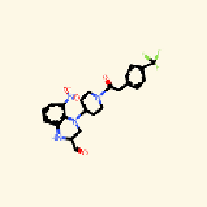 O=CC1CN(C2CCN(C(=O)Cc3ccc(C(F)(F)F)cc3)CC2)c2c(cccc2[N+](=O)[O-])N1